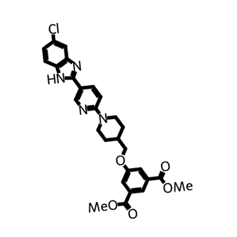 COC(=O)c1cc(OCC2CCN(c3ccc(-c4nc5cc(Cl)ccc5[nH]4)cn3)CC2)cc(C(=O)OC)c1